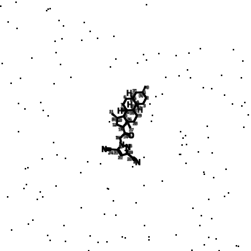 C[C@H]1CC[C@H]2[C@H](CC[C@H]3C4[C@H](C)C[C@H](C(=O)Cn5nc(C#N)cc5C#N)[C@@]4(C)CC[C@H]23)C1